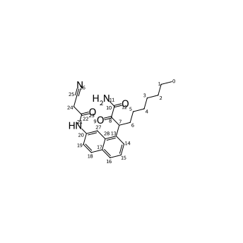 CCCCCCCC(C(=O)C(N)=O)c1cccc2ccc(NC(=O)CC#N)cc12